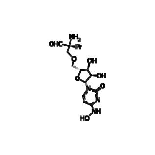 CC(C)[C@](N)(C=O)COC[C@H]1O[C@@H](n2ccc(NO)nc2=O)[C@H](O)[C@@H]1O